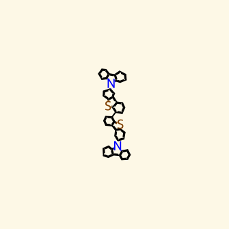 c1cc(-c2cccc3c2sc2ccc(-n4c5ccccc5c5ccccc54)cc23)c2sc3ccc(-n4c5ccccc5c5ccccc54)cc3c2c1